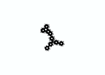 c1ccc(-c2ccc(N(c3ccc(-c4ccccc4)cc3)c3ccc(-c4ccc5cc6c7ccccc7c7ccccc7c6cc5c4)cc3)cc2)cc1